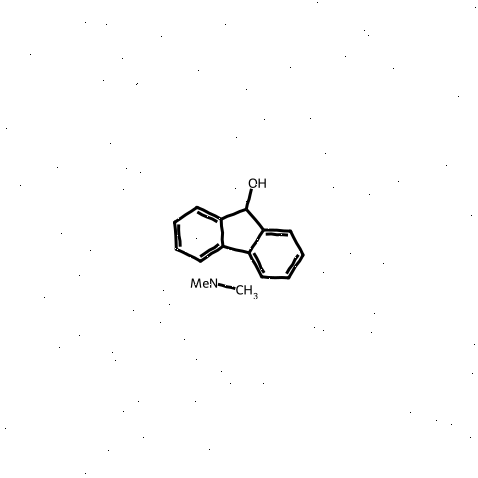 CNC.OC1c2ccccc2-c2ccccc21